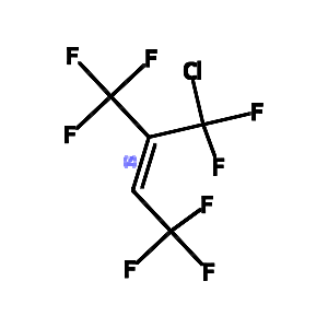 FC(F)(F)/C=C(/C(F)(F)F)C(F)(F)Cl